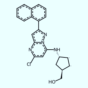 OC[C@@H]1[CH][CH][C@@H](Nc2cc(Cl)nc3cc(-c4cccc5ccccc45)nn23)C1